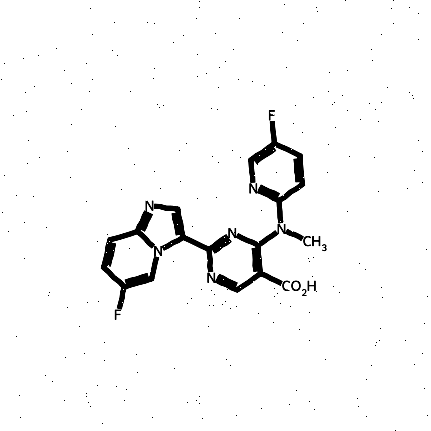 CN(c1ccc(F)cn1)c1nc(-c2cnc3ccc(F)cn23)ncc1C(=O)O